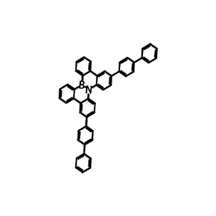 c1ccc(-c2ccc(-c3ccc4c(c3)-c3ccccc3B3c5ccccc5-c5cc(-c6ccc(-c7ccccc7)cc6)ccc5N34)cc2)cc1